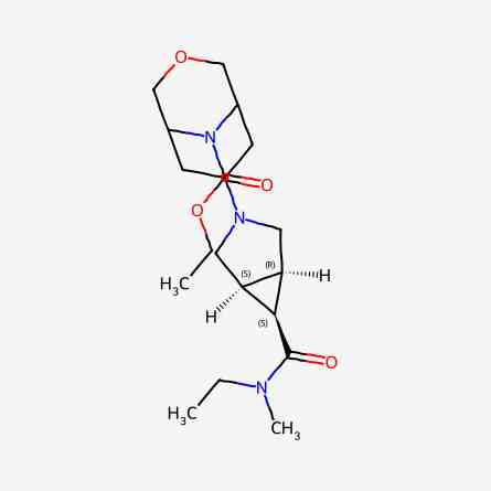 CCOC(=O)N1C2COCC1CC(N1C[C@@H]3[C@H](C1)[C@@H]3C(=O)N(C)CC)C2